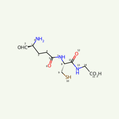 N[C@H](C=O)CCC(=O)N[C@@H](CS)C(=O)NCC(=O)O